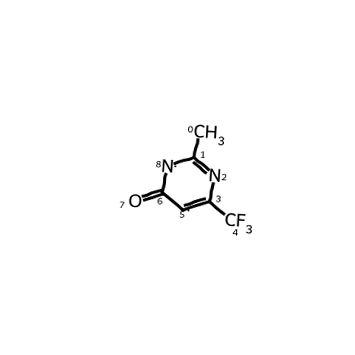 CC1=NC(C(F)(F)F)=[C]C(=O)[N]1